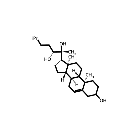 CC(C)CC[C@@H](O)[C@](C)(O)[C@H]1CC[C@H]2[C@@H]3CC=C4CC(O)CC[C@]4(C)[C@H]3CC[C@]12C